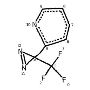 FC(F)(F)C1(c2ccccn2)N=N1